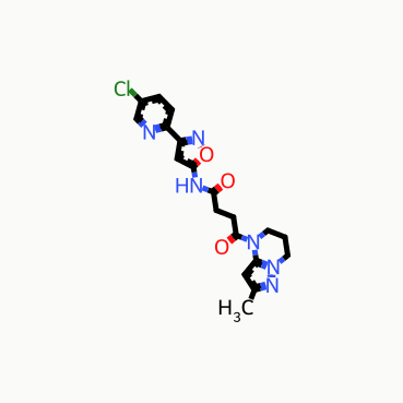 Cc1cc2n(n1)CCCN2C(=O)CCC(=O)Nc1cc(-c2ccc(Cl)cn2)no1